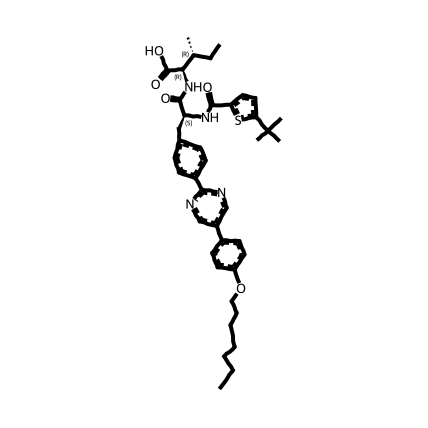 CCCCCCCOc1ccc(-c2cnc(-c3ccc(C[C@H](NC(=O)c4ccc(C(C)(C)C)s4)C(=O)N[C@@H](C(=O)O)[C@H](C)CC)cc3)nc2)cc1